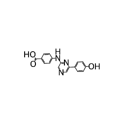 O=C(O)c1ccc(Nc2cncc(-c3ccc(O)cc3)n2)cc1